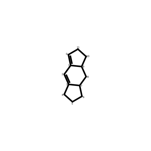 C1=C2C=C3CCCC3CC2CC1